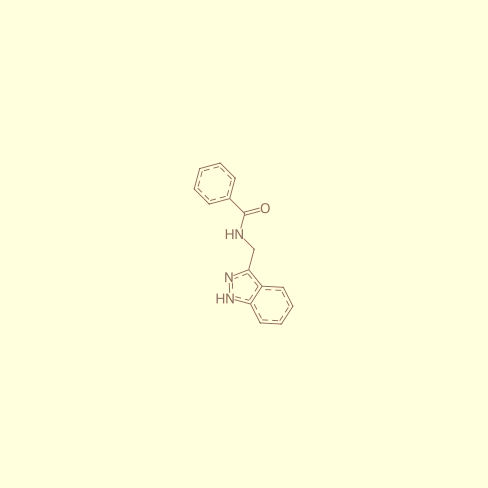 O=C(NCc1n[nH]c2ccccc12)c1ccccc1